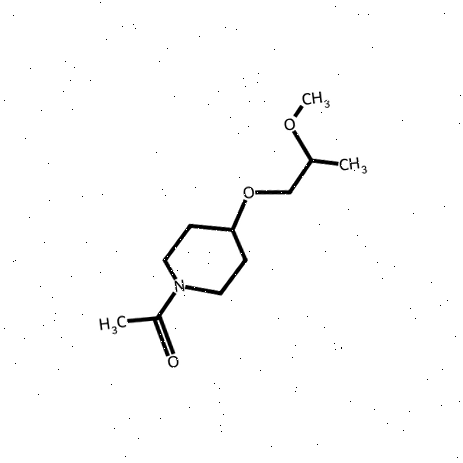 COC(C)COC1CCN(C(C)=O)CC1